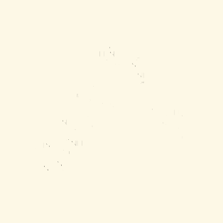 CC(C)(C)C#Cc1cc(-c2ccnc(Nc3nnc[nH]3)c2)cc2c(N)n[nH]c12